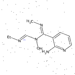 CC/N=C/N(O)C(=NC)c1cccnc1N